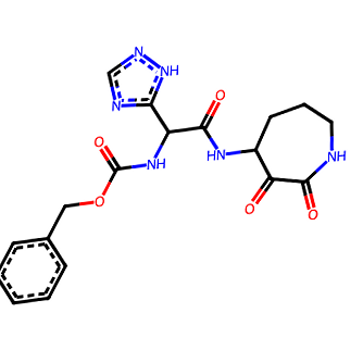 O=C(NC(C(=O)NC1CCCNC(=O)C1=O)c1ncn[nH]1)OCc1ccccc1